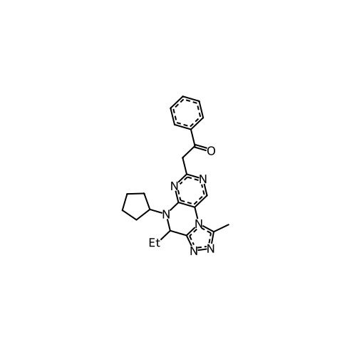 CCC1c2nnc(C)n2-c2cnc(CC(=O)c3ccccc3)nc2N1C1CCCC1